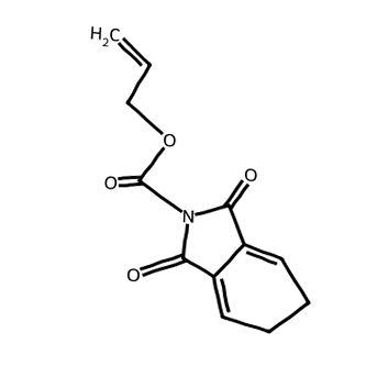 C=CCOC(=O)N1C(=O)C2=CCCC=C2C1=O